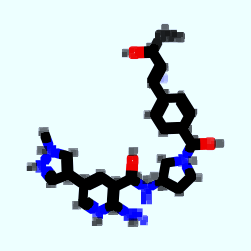 COC(=O)/C=C/c1ccc(C(=O)N2CC[C@@H](NC(=O)c3cc(-c4cnn(C)c4)cnc3N)C2)cc1